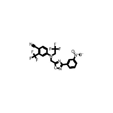 N#Cc1ccc(N(Cc2nc(-c3cccc([N+](=O)[O-])c3)no2)CC(F)(F)F)cc1C(F)(F)F